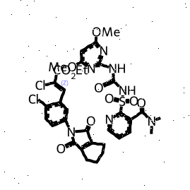 CCOC(=O)/C(Cl)=C/c1cc(N2C(=O)C3=C(CCCC3)C2=O)ccc1Cl.COc1cc(OC)nc(NC(=O)NS(=O)(=O)c2ncccc2C(=O)N(C)C)n1